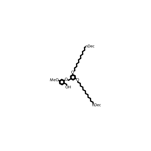 CCCCCCCCCCCCCCCCCCCCCCOc1cc(COc2cc(OC)ccc2CO)cc(OCCCCCCCCCCCCCCCCCCCCCC)c1